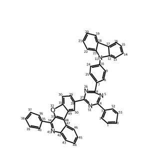 c1ccc(-c2nc(-c3ccc(-n4c5ccccc5c5ccccc54)cc3)nc(-c3ccc4oc5c(-c6ccccc6)nc6ccccc6c5c4c3)n2)cc1